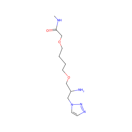 CNC(=O)COCCCCOCC(N)Cn1ccnn1